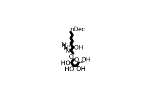 CCCCCCCCCCCCCC=CC(O)C(COC1O[C@H](CO)[C@H](O)[C@H](O)[C@H]1O)N=[N+]=[N-]